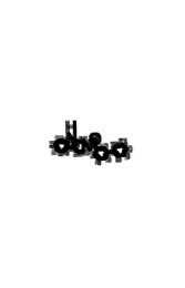 O=C(c1cccc(-c2ccccc2)c1)N1CCc2c([nH]c3ccccc23)C1